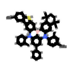 Cc1cc(C(C)(C)C)ccc1N1c2cc3c(cc2B2c4cc5sc6ccc(C(C)(C)C)cc6c5cc4N(c4ccccc4C)c4cc(-c5ccccc5)cc1c42)C(C)(C)CCC3(C)C